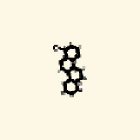 Clc1cccc2c1ccc1c3ccccc3ccc21